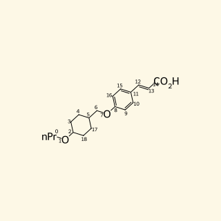 CCCOC1CCC(COc2ccc(C=CC(=O)O)cc2)CC1